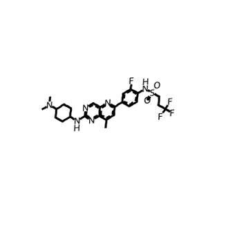 Cc1cc(-c2ccc(NS(=O)(=O)CCC(F)(F)F)c(F)c2)nc2cnc(NC3CCC(N(C)C)CC3)nc12